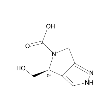 O=C(O)N1Cc2n[nH]cc2[C@H]1CO